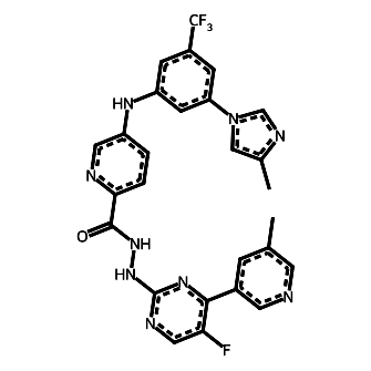 Cc1cncc(-c2nc(NNC(=O)c3ccc(Nc4cc(-n5cnc(C)c5)cc(C(F)(F)F)c4)cn3)ncc2F)c1